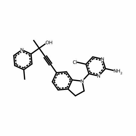 Cc1ccnc(C(C)(O)C#Cc2ccc3c(c2)N(c2nc(N)ncc2Cl)CC3)c1